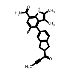 CC#CC(=O)C1Cc2ccc(-c3c(F)cc(C(N)=O)c4[nH]c(C)c(C)c34)cc2C1